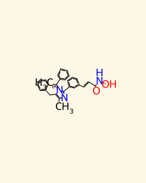 Cc1nc(-c2cccc(C=CC(=O)NO)c2)n([C@H](C)c2ccccc2)c1Cc1ccccc1